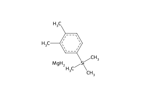 Cc1ccc([Si](C)(C)C)cc1C.[MgH2]